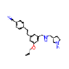 C=CCOc1cc(/C=C/c2ccc(C#N)cc2)cc(CNCC2CCNC2)c1